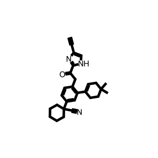 C#Cc1c[nH]c(C(=O)Cc2ccc(C3(C#N)CCCCC3)cc2C2=CCC(C)(C)CC2)n1